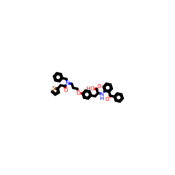 O=C(c1ccccc1)c1ccccc1NC(Cc1ccc(OCCCN(Cc2ccccc2)C(=O)Cc2cccs2)cc1)C(=O)O